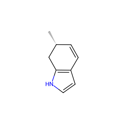 C[C@@H]1C=Cc2cc[nH]c2C1